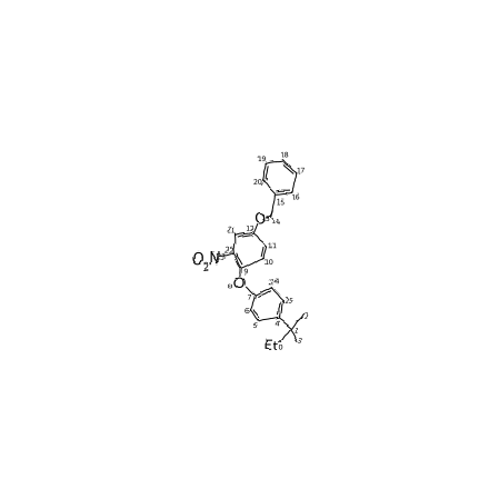 CCC(C)(C)c1ccc(Oc2ccc(OCc3ccccc3)cc2[N+](=O)[O-])cc1